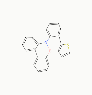 c1ccc2c(c1)B1c3ccsc3-c3ccccc3N1c1ccccc1-2